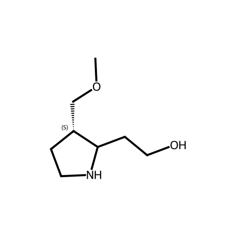 COC[C@H]1CCNC1CCO